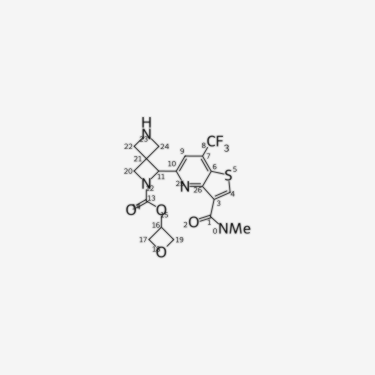 CNC(=O)c1csc2c(C(F)(F)F)cc(C3N(C(=O)OC4COC4)CC34CNC4)nc12